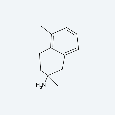 Cc1cccc2c1CCC(C)(N)C2